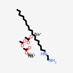 CC(=O)[O-].CC(=O)[O-].CC(=O)[O-].CCCCCCCCCCCCCCCCCCNCCN.[Na+].[Na+].[Na+]